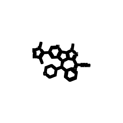 CNC(=O)c1nn(C)c2c3ncc(-c4c(C)nnn4C)cc3n(C(c3ccccc3)C3CCOCC3)c12